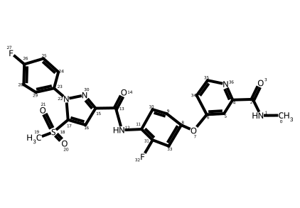 CNC(=O)c1cc(Oc2ccc(NC(=O)c3cc(S(C)(=O)=O)n(-c4ccc(F)cc4)n3)c(F)c2)ccn1